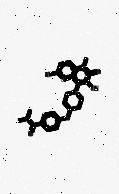 CN(C)C(=O)c1ccc(OC2CCN(c3c(C#N)c(=O)n(C)c4ccc(Cl)nc34)CC2)cc1